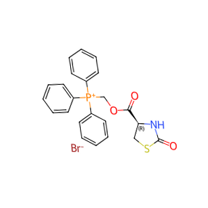 O=C1N[C@H](C(=O)OC[P+](c2ccccc2)(c2ccccc2)c2ccccc2)CS1.[Br-]